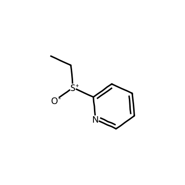 CC[S+]([O-])c1ccccn1